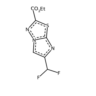 CCOC(=O)c1nn2cc(C(F)F)nc2s1